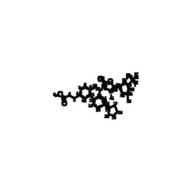 COC(=O)CCc1ccc(C)c(-c2ccc(N3CCCC3)nc2CN2C(=O)O[C@H](c3cc(C)cc(C(F)(F)F)c3)[C@@H]2C)c1